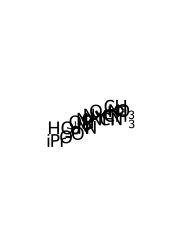 CC(C)OC[C@H]1O[C@@H](n2cnc3c(NC(=O)/C(C#N)=C/C(C)(C)N4CCOCC4)ncnc32)[C@H](O)[C@@H]1O